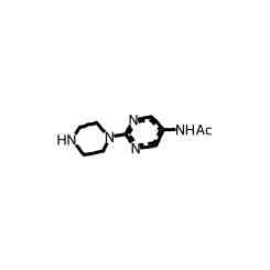 CC(=O)Nc1cnc(N2CCNCC2)nc1